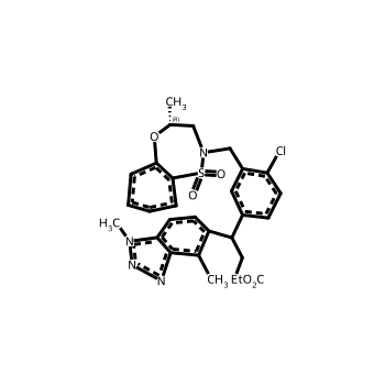 CCOC(=O)CC(c1ccc(Cl)c(CN2C[C@@H](C)Oc3ccccc3S2(=O)=O)c1)c1ccc2c(nnn2C)c1C